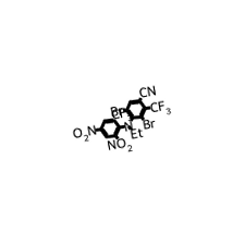 CCN(c1c([N+](=O)[O-])cc([N+](=O)[O-])cc1C(F)(F)F)c1c(Br)cc(C#N)c(C(F)(F)F)c1Br